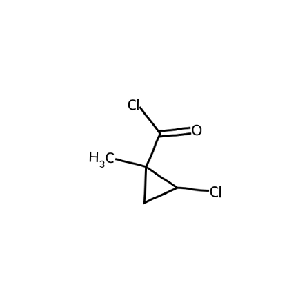 CC1(C(=O)Cl)CC1Cl